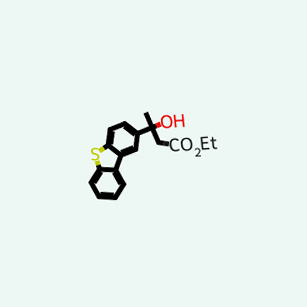 CCOC(=O)CC(C)(O)c1ccc2sc3ccccc3c2c1